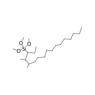 CCCCCCCCCCCCC(C)[C](C)C(CC)[Si](OC)(OC)OC